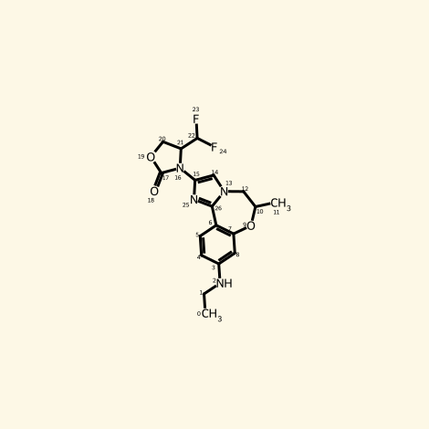 CCNc1ccc2c(c1)OC(C)Cn1cc(N3C(=O)OCC3C(F)F)nc1-2